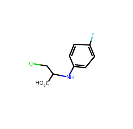 O=C(O)C(CCl)Nc1ccc(F)cc1